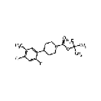 Cc1cc(C2CCN(C(=O)OC(C)(C)C)CC2)c(F)cc1Cl